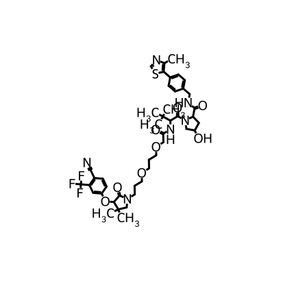 Cc1ncsc1-c1ccc(CNC(=O)C2CC(O)CN2C(=O)C(NC(=O)COCCCOCCCN2CC(C)(C)C(Oc3ccc(C#N)c(C(F)(F)F)c3)C2=O)C(C)(C)C)cc1